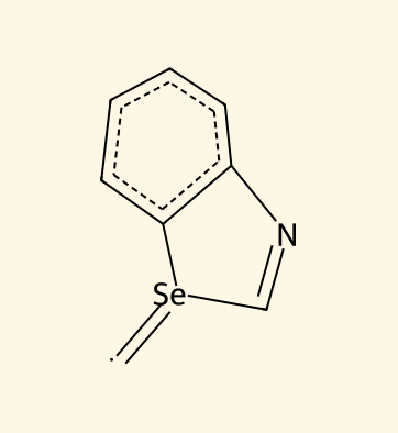 [CH]=[Se]1C=Nc2ccccc21